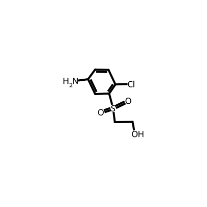 Nc1ccc(Cl)c(S(=O)(=O)CCO)c1